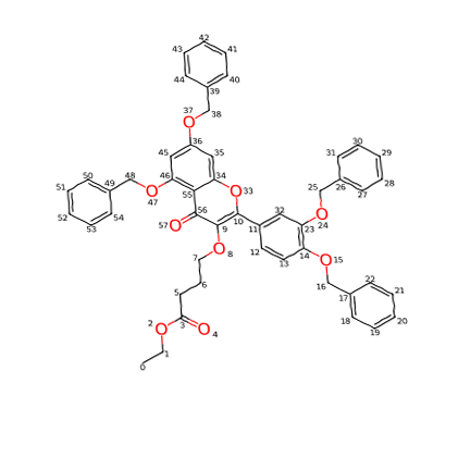 CCOC(=O)CCCOc1c(-c2ccc(OCc3ccccc3)c(OCc3ccccc3)c2)oc2cc(OCc3ccccc3)cc(OCc3ccccc3)c2c1=O